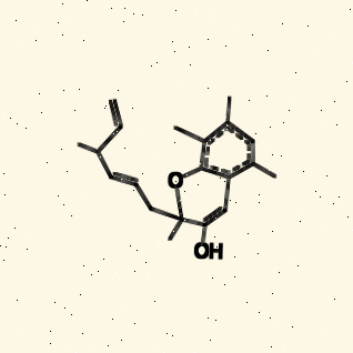 C=CC(C)C=CCC1(C)Oc2c(C)c(C)cc(C)c2C=C1O